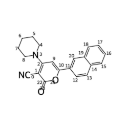 N#Cc1c(N2CCCCC2)cc(-c2ccc3ccccc3c2)oc1=O